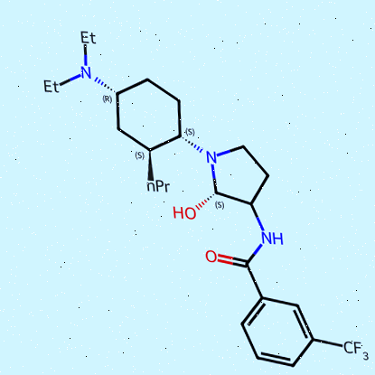 CCC[C@H]1C[C@H](N(CC)CC)CC[C@@H]1N1CCC(NC(=O)c2cccc(C(F)(F)F)c2)[C@@H]1O